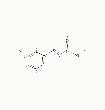 COC(=O)/C=C/c1cncc(Cl)n1